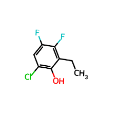 CCc1c(O)c(Cl)cc(F)c1F